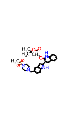 CC(C)(C)OC=O.CS(=O)(=O)N1CCN(Cc2ccc3[nH]c(-c4cc5ccccc5[nH]c4=O)cc3c2)CC1